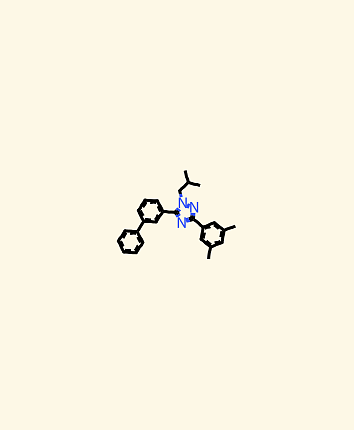 Cc1cc(C)cc(-c2nc(-c3cccc(-c4ccccc4)c3)n(CC(C)C)n2)c1